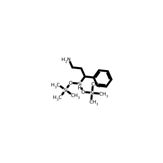 C[Si](C)(C)O[SiH](O[Si](C)(C)C)C(CCN)c1ccccc1